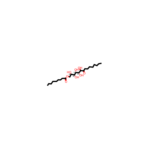 CCCCCCCCC(=O)OC[C@@H](O)[C@@H](O)[C@H](O)[C@@H](O)C(O)C(=O)CCCCCCCC